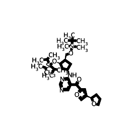 CC(C)[Si](O[C@H]1C[C@H](Nc2ncncc2C(=O)c2cc([C@H]3CCCO3)co2)C[C@@H]1CO[Si](C)(C)C(C)(C)C)(C(C)C)C(C)C